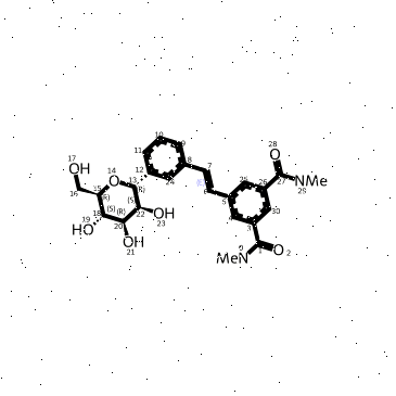 CNC(=O)c1cc(/C=C/c2cccc([C@H]3O[C@H](CO)[C@@H](O)[C@H](O)[C@@H]3O)c2)cc(C(=O)NC)c1